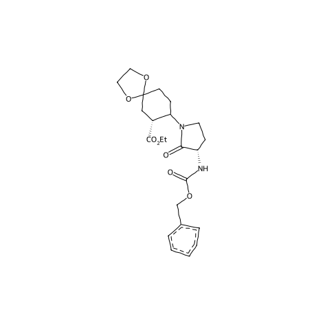 CCOC(=O)[C@@H]1CC2(CCC1N1CC[C@H](NC(=O)OCc3ccccc3)C1=O)OCCO2